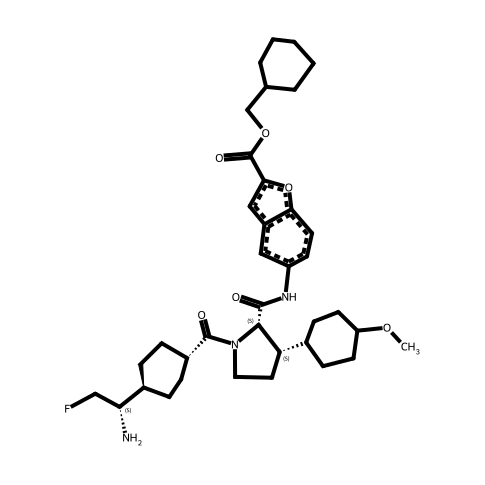 COC1CCC([C@@H]2CCN(C(=O)[C@H]3CC[C@H]([C@H](N)CF)CC3)[C@@H]2C(=O)Nc2ccc3oc(C(=O)OCC4CCCCC4)cc3c2)CC1